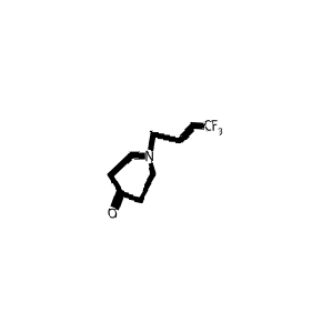 O=C1CCN(CCCC(F)(F)F)CC1